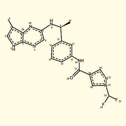 Cc1c[nH]c2ncc(N[C@@H](C)c3cccc(NC(=O)c4cnn(C(F)F)c4)c3)nc12